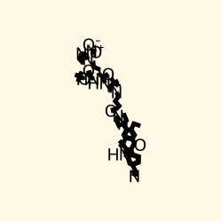 CCc1cc2c(cc1N1CCN(C(=O)CCCN3C[C@H](NC(=O)[C@H](CCCn4ccnc4[N+](=O)[O-])NC(=O)OC(C)(C)C)C(C)(C)C3)CC1)C(C)(C)c1[nH]c3cc(C#N)ccc3c1C2=O